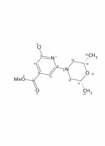 COC(=O)c1cc(Cl)nc(N2C[C@@H](C)O[C@@H](C)C2)c1